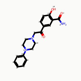 NC(=O)c1cc(C(=O)CN2CCN(c3ccccc3)CC2)ccc1O